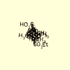 CC1(C)CCC(C)(C)c2cc(S(=O)(=O)c3ccc(CCC(=O)O)cc3)ccc21.CCOC(=O)CCc1ccc(-c2ccc3c(c2)C(C)(C)CCC3(C)C)cc1